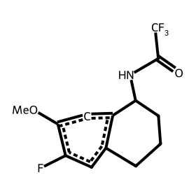 COc1cc2c(cc1F)CCCC2NC(=O)C(F)(F)F